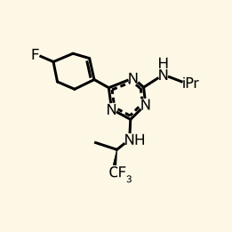 CC(C)Nc1nc(N[C@H](C)C(F)(F)F)nc(C2=CCC(F)CC2)n1